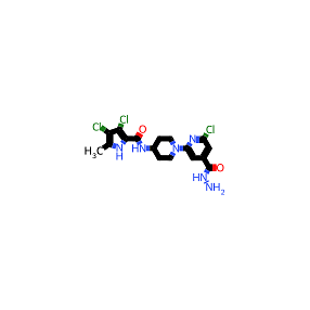 Cc1[nH]c(C(=O)NC2CCN(c3cc(C(=O)NN)cc(Cl)n3)CC2)c(Cl)c1Cl